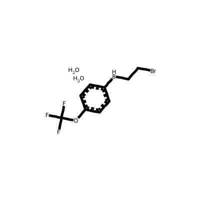 FC(F)(F)Oc1ccc(BCCBr)cc1.O.O